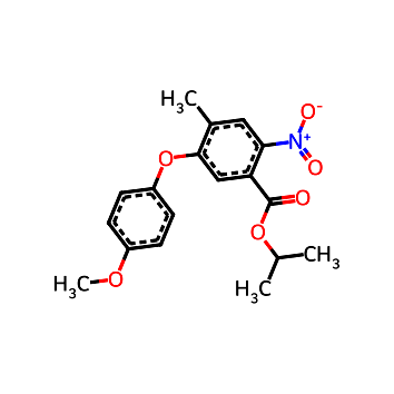 COc1ccc(Oc2cc(C(=O)OC(C)C)c([N+](=O)[O-])cc2C)cc1